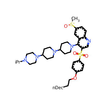 CCCCCCCCCCCCOc1ccc(S(=O)(=O)c2cnc3ccc([S@@+](C)[O-])cc3c2N2CCC(N3CCC(N4CCN(C(C)C)CC4)CC3)CC2)cc1